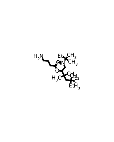 CCC(C)(C)CC(C)(C)C(CNC(C)(C)CC)OC(=O)CCCN